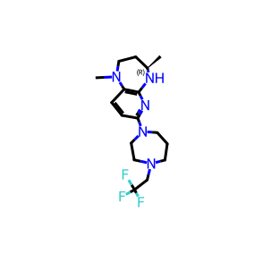 C[C@@H]1CCN(C)c2ccc(N3CCCN(CC(F)(F)F)CC3)nc2N1